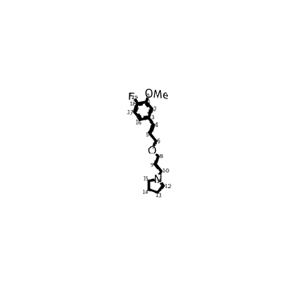 COc1cc(/C=C/COCCCN2CCCC2)ccc1F